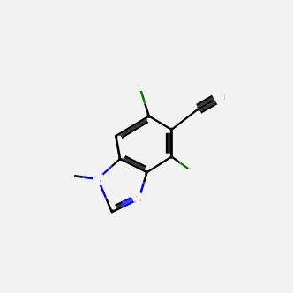 C#Cc1c(F)cc2c(ncn2CC)c1F